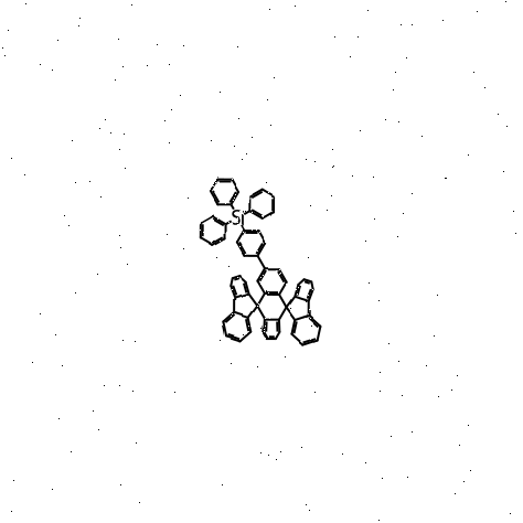 c1ccc([Si](c2ccccc2)(c2ccccc2)c2ccc(-c3ccc4c(c3)C3(c5ccccc5-c5ccccc53)c3ccccc3C43c4ccccc4-c4ccccc43)cc2)cc1